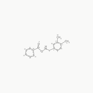 Cc1ccc(CNOC(=O)c2ccccc2)cc1C